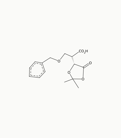 CC1(C)OC(=O)[C@@H](C(COCc2ccccc2)C(=O)O)O1